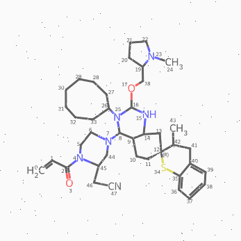 C=CC(=O)N1CCN(C2C3CC[C@]4(CC3NC(OCC3CCCN3C)N2C2CCCCCCC2)Sc2ccccc2CC4C)CC1CC#N